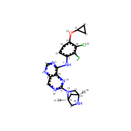 Fc1c(Nc2ncnc3cnc(N4C[C@@H]5C[C@H]4CN5)nc23)ccc(OC2CC2)c1Cl